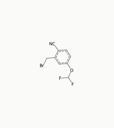 N#Cc1ccc(OC(F)F)cc1CBr